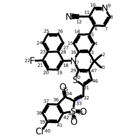 CC1(C)c2cc(-c3ccncc3C#N)ccc2N(c2ccc(F)c3ccccc23)c2sc(/C=C3\C(=O)c4ccc(Cl)cc4S3(=O)=O)cc21